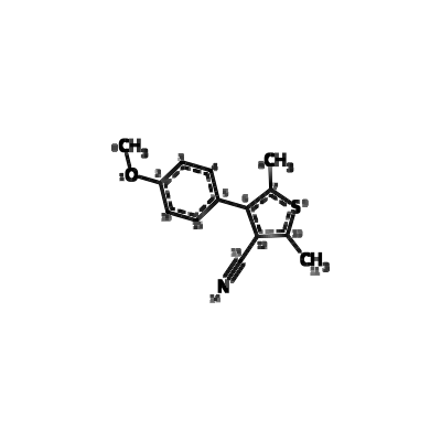 COc1ccc(-c2c(C)sc(C)c2C#N)cc1